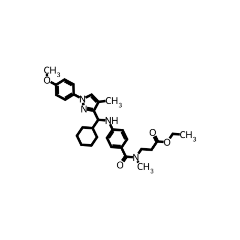 CCOC(=O)CCN(C)C(=O)c1ccc(NC(c2nn(-c3ccc(OC)cc3)cc2C)C2CCCCC2)cc1